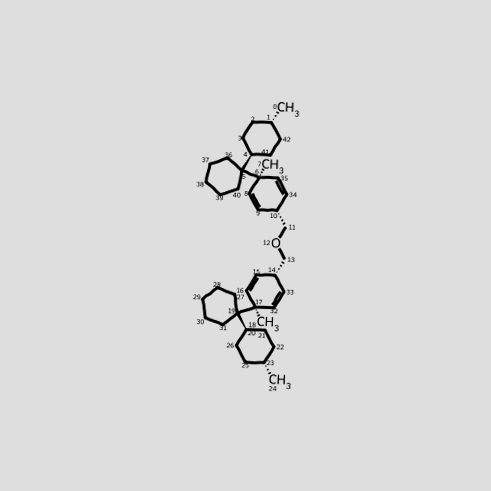 C[C@H]1CC[C@H](C2([C@]3(C)C=C[C@@H](COC[C@H]4C=C[C@](C)(C5([C@H]6CC[C@H](C)CC6)CCCCC5)C=C4)C=C3)CCCCC2)CC1